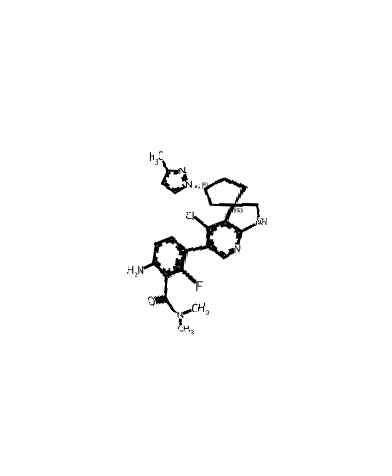 Cc1ccn([C@@H]2CC[C@]3(CNc4ncc(-c5ccc(N)c(C(=O)N(C)C)c5F)c(Cl)c43)C2)n1